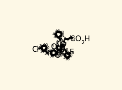 O=C(O)CCCN[C@@H](Cn1c(=O)c2c(n(Cc3c(F)cccc3F)c1=O)COC21CCN(Cc2cccc(Cl)c2)CC1)c1ccccc1